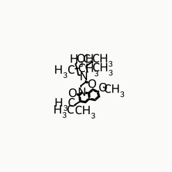 COc1ccc2cc(C(C)(C)C)c(=O)n(CC(=O)N(CCC(C)(C)C)CC(C)(C)CO)c2c1